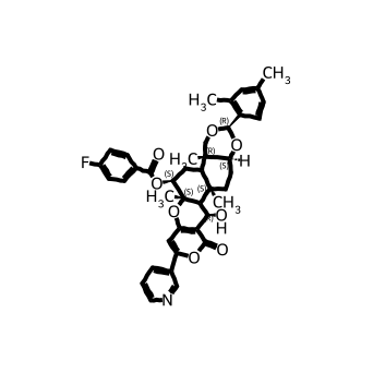 Cc1ccc([C@@H]2OC[C@@]3(C)C4C[C@H](OC(=O)c5ccc(F)cc5)[C@@]5(C)Oc6cc(-c7cccnc7)oc(=O)c6[C@H](O)C5[C@@]4(C)CC[C@@H]3O2)c(C)c1